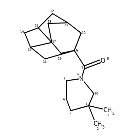 CC1(C)CCCN(C(=O)C23CC4CC5CC(C2)C5(C4)C3)C1